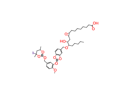 CCCCCC(OCc1ccc2c(c1)OB(Oc1cc(COB3OC(C)CC(C)(I)O3)ccc1OC)O2)C(O)CC1OC1CCCCCCCC(=O)O